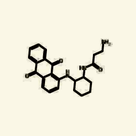 NCCC(=O)NC1CCCCC1Nc1cccc2c1C(=O)c1ccccc1C2=O